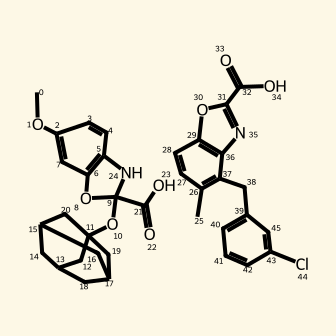 COc1ccc2c(c1)OC(OC13CC4CC(CC(C4)C1)C3)(C(=O)O)N2.Cc1ccc2oc(C(=O)O)nc2c1Cc1cccc(Cl)c1